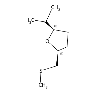 CSC[C@@H]1CC[C@H](C(C)C)O1